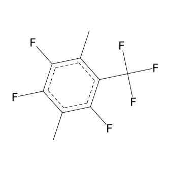 Cc1c(F)c(F)c(C)c(C(F)(F)F)c1F